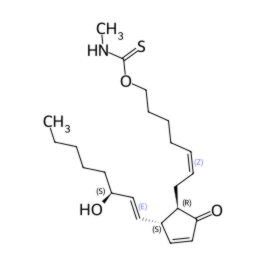 CCCCC[C@H](O)/C=C/[C@H]1C=CC(=O)[C@@H]1C/C=C\CCCCOC(=S)NC